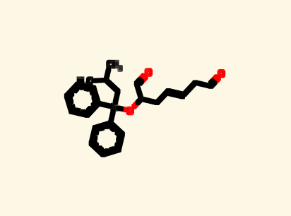 CC(C)C[Si](OC(C=O)CC=CCC=O)(c1ccccc1)c1ccccc1